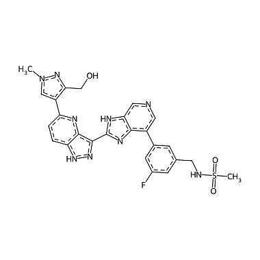 Cn1cc(-c2ccc3[nH]nc(-c4nc5c(-c6cc(F)cc(CNS(C)(=O)=O)c6)cncc5[nH]4)c3n2)c(CO)n1